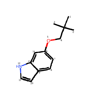 CC(C)(C)COc1ccc2cc[nH]c2c1